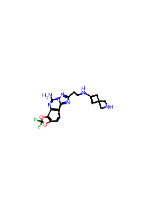 Nc1nc2c3c(ccc2c2nc(CCNC4CC5(CNC5)C4)nn12)OC(F)(F)O3